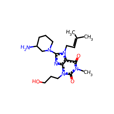 CC(C)=CCn1c(N2CCCC(N)C2)nc2c1c(=O)n(C)c(=O)n2CCCO